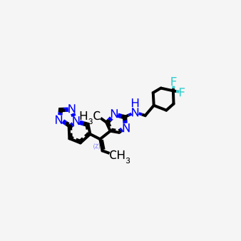 C/C=C(/c1ccc2ncnn2c1)c1cnc(NCC2CCC(F)(F)CC2)nc1C